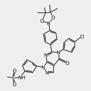 CC1(C)OB(c2ccc(-c3nc4c(cnn4-c4cccc(NS(C)(=O)=O)c4)c(=O)n3-c3ccc(Cl)cc3)cc2)OC1(C)C